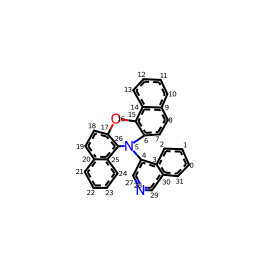 c1ccc2c(N3c4ccc5ccccc5c4Oc4ccc5ccccc5c43)cncc2c1